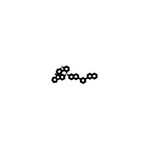 CC1(C)c2ccccc2-c2ccc(N(c3ccc4cc(-c5cccc(-c6ccc7ccccc7c6)c5)ccc4c3)c3cccc4sc5ccccc5c34)cc21